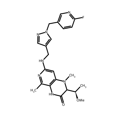 CO[C@H](C)C1C(=O)Nc2c(cc(NCc3cnn(Cc4ccc(F)nc4)c3)nc2C)N1C